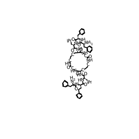 CC(C)C[C@@H](NC(=O)[C@@H](CCc1ccccc1)NC(=O)[C@H](N)Cc1ccccc1)C(=O)N[C@@H]1CCCCNC(=O)CNC(=O)[C@H](NC(=O)[C@@H](CC(C)C)NC(=O)[C@@H](Cc2ccccc2)NC(=O)[C@H](N)Cc2ccccc2)CCCCNC(=O)CNC1=O